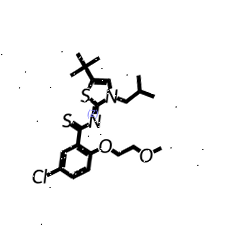 COCCOc1ccc(Cl)cc1C(=S)/N=c1\sc(C(C)(C)C)cn1CC(C)C